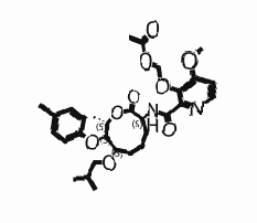 COc1ccnc(C(=O)N[C@H]2CCC[C@H](OCC(C)C)[C@@H](Oc3ccc(C)cc3)[C@H](C)OC2=O)c1OCOC(C)=O